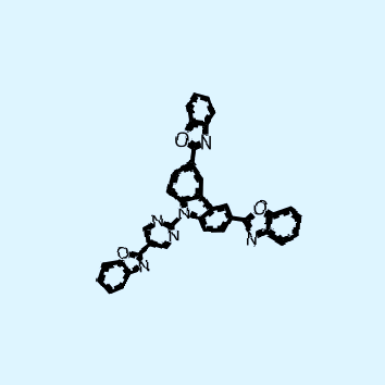 c1ccc2oc(-c3cnc(-n4c5ccc(-c6nc7ccccc7o6)cc5c5cc(-c6nc7ccccc7o6)ccc54)nc3)nc2c1